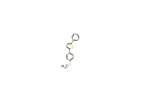 CSc1ccc(-c2ccc(-c3ccccc3)s2)cc1